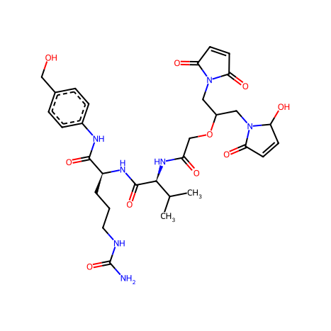 CC(C)[C@H](NC(=O)COC(CN1C(=O)C=CC1=O)CN1C(=O)C=CC1O)C(=O)N[C@@H](CCCNC(N)=O)C(=O)Nc1ccc(CO)cc1